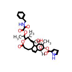 C/C1=C\[C@@H](C)C([C@@H](C)OC(=O)C(=O)NCc2ccccc2)OC(=O)CCC2C=CC3C4[C@H](O)[C@@H](C)[C@@H](OC(=O)c5ccc[nH]5)[C@@H]3O[C@@]124